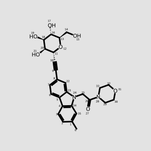 Cc1ccc2c3ccc(C#C[C@H]4O[C@H](CO)[C@@H](O)[C@H](O)[C@@H]4O)cc3n(CC(=O)N3CCOCC3)c2c1